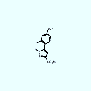 CCOC(=O)c1cc(-c2ccc(OC)cc2C)n(C)n1